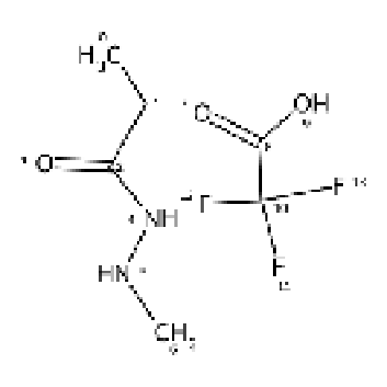 CCC(=O)NNC.O=C(O)C(F)(F)F